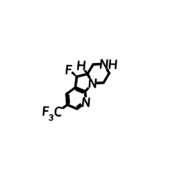 F[C@@H]1c2cc(C(F)(F)F)cnc2N2CCNC[C@@H]12